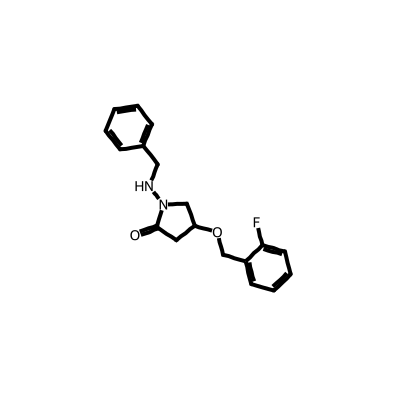 O=C1CC(OCc2ccccc2F)CN1NCc1ccccc1